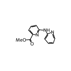 COC(=O)c1cccc(Nc2ccccn2)n1